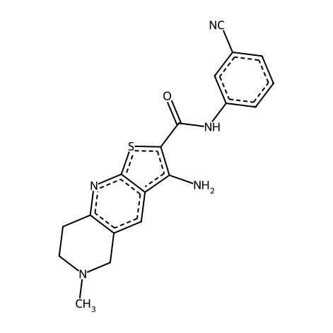 CN1CCc2nc3sc(C(=O)Nc4cccc(C#N)c4)c(N)c3cc2C1